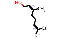 CC/C(C)=C\CC/C(C)=C\CO